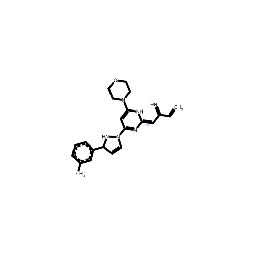 C=CC(=N)/C=C1/N=C(N2C=CC(c3cccc(C)c3)N2)C=C(N2CCOCC2)N1